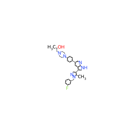 Cc1c(-c2c[nH]c3ncc(-c4ccc(N5CCN(CC(C)O)CC5)cc4)cc23)cnn1Cc1cccc(F)c1